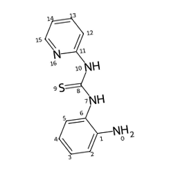 Nc1ccccc1NC(=S)Nc1ccccn1